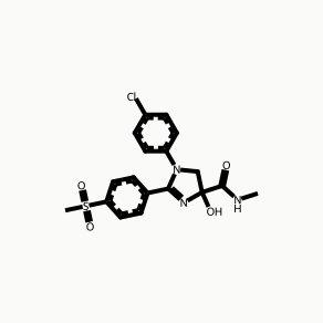 CNC(=O)C1(O)CN(c2ccc(Cl)cc2)C(c2ccc(S(C)(=O)=O)cc2)=N1